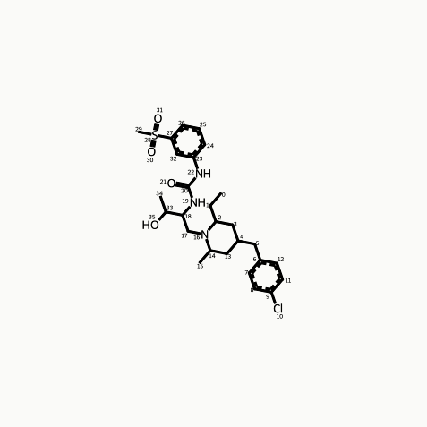 CCC1CC(Cc2ccc(Cl)cc2)CC(C)N1CC(NC(=O)Nc1cccc(S(C)(=O)=O)c1)C(C)O